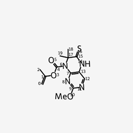 C=C(C)OC(=O)N1c2nc(OC)ncc2NC(=S)C1(C)C